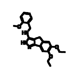 CCOc1cc2c(cc1OCC)-c1n[nH]c(NCc3ccccc3OC)c1C2